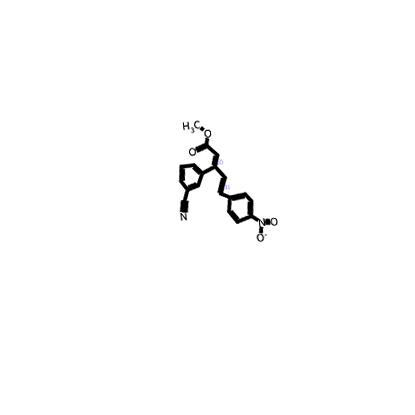 COC(=O)/C=C(/C=C/c1ccc([N+](=O)[O-])cc1)c1cccc(C#N)c1